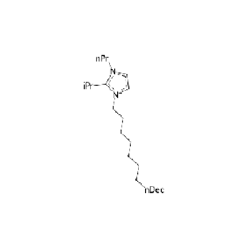 CCCCCCCCCCCCCCCCC[n+]1ccn(CCC)c1C(C)C